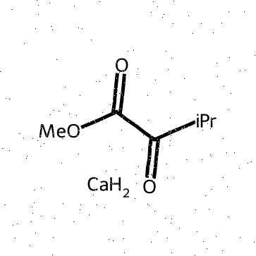 COC(=O)C(=O)C(C)C.[CaH2]